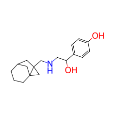 Oc1ccc(C(O)CNCC23CC4CCCC2(C4)C3)cc1